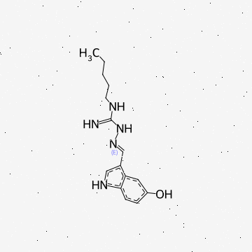 CCCCCNC(=N)N/N=C/c1c[nH]c2ccc(O)cc12